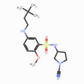 COc1ccc(NCCC(C)(C)C)cc1S(=O)(=O)NC1CCN(C#N)C1